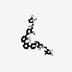 COc1nc(-c2cccc(-c3cccc(-c4ccn5c(=O)c(CNC[C@H]6NC(=O)CC6(C)C)cnc5c4)c3Cl)c2Cl)ccc1CNC[C@@H]1CCC(=O)N1